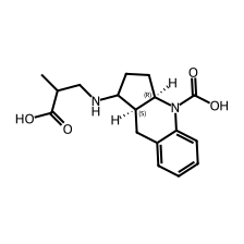 CC(CNC1CC[C@@H]2[C@H]1Cc1ccccc1N2C(=O)O)C(=O)O